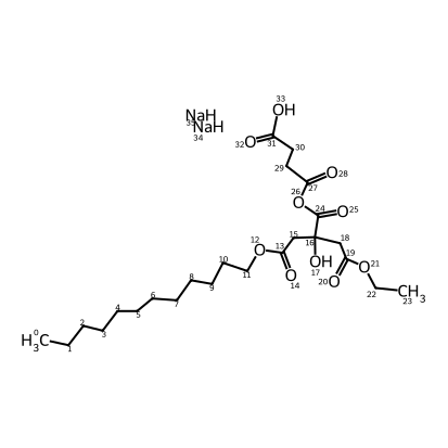 CCCCCCCCCCCCOC(=O)CC(O)(CC(=O)OCC)C(=O)OC(=O)CCC(=O)O.[NaH].[NaH]